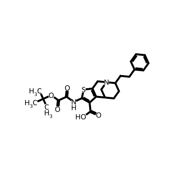 CC(C)(C)OC(=O)C(=O)Nc1sc2c(c1C(=O)O)C1CCC(CCc3ccccc3)N(C2)C1